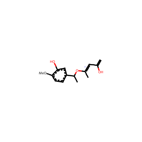 C=C(O)/C=C(\C)OC(C)c1ccc(OC)c(O)c1